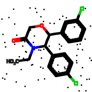 O=C(O)CN1C(=O)COC(c2cccc(Cl)c2)C1c1ccc(Cl)cc1